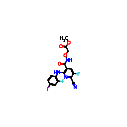 COC(=O)CONC(=O)c1cc(F)c(C#N)nc1Nc1ccc(I)cc1F